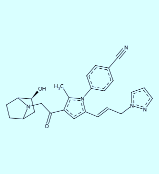 Cc1c(C(=O)CN2C3CCC2[C@@H](O)C3)cc(/C=C/Cn2cccn2)n1-c1ccc(C#N)cc1